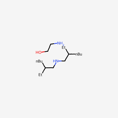 CCCCC(CC)CNCC(CC)CCCC.NCCO